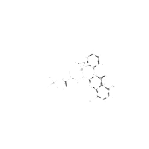 CC(C)(C)OC(=O)NCC(c1nc2c(F)ccc(Cl)c2c(=O)n1-c1cccnc1)C1CC1